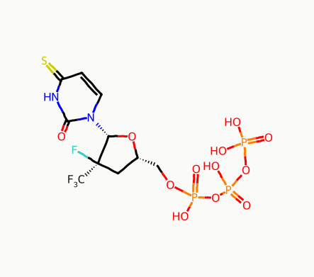 O=c1[nH]c(=S)ccn1[C@@H]1O[C@H](COP(=O)(O)OP(=O)(O)OP(=O)(O)O)C[C@]1(F)C(F)(F)F